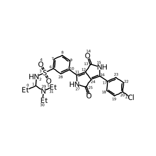 CCC(NS(=O)(=O)c1cccc(C2=C3C(=O)NC(c4ccc(Cl)cc4)=C3C(=O)N2)c1)N(CC)CC